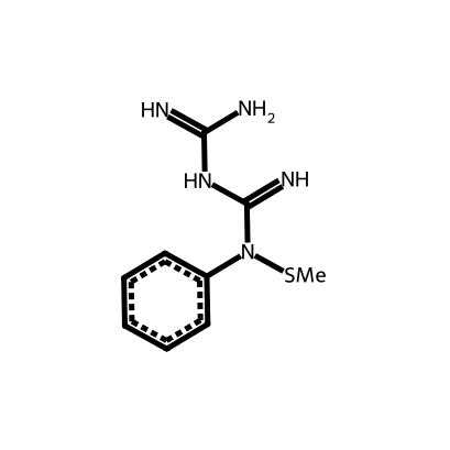 CSN(C(=N)NC(=N)N)c1ccccc1